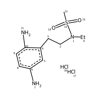 CCN(CCc1cc(N)ccc1N)S(C)(=O)=O.Cl.Cl